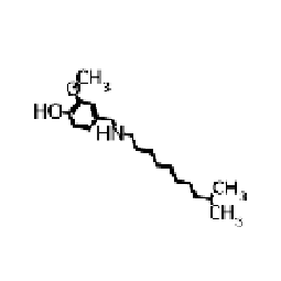 COc1cc(CNCCCCCCCCC(C)C)ccc1O